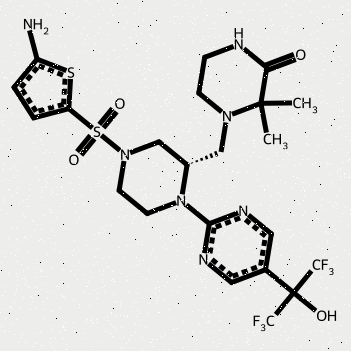 CC1(C)C(=O)NCCN1C[C@H]1CN(S(=O)(=O)c2ccc(N)s2)CCN1c1ncc(C(O)(C(F)(F)F)C(F)(F)F)cn1